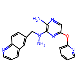 Nc1ncc(Oc2ccccn2)nc1N(N)Cc1ccc2ncccc2c1